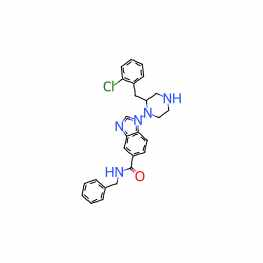 O=C(NCc1ccccc1)c1ccc2c(c1)ncn2N1CCNCC1Cc1ccccc1Cl